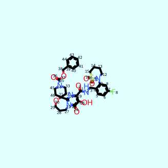 O=C(NCc1ccc(F)cc1N1CCCCS1(=O)=O)c1nc2n(c(=O)c1O)CCCOC21CCN(C(=O)OCc2ccccc2)CC1